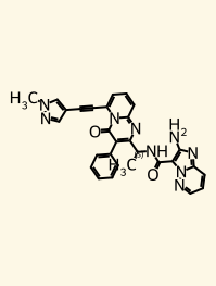 C[C@H](NC(=O)c1c(N)nc2cccnn12)c1nc2cccc(C#Cc3cnn(C)c3)n2c(=O)c1-c1ccccc1